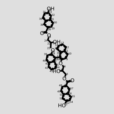 O=C(OCC(O)COc1ccc2ccccc2c1-c1c(OCC(O)COC(=O)c2ccc3cc(O)ccc3c2)ccc2ccccc12)c1ccc2cc(O)ccc2c1